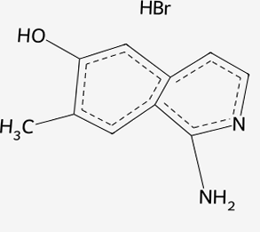 Br.Cc1cc2c(N)nccc2cc1O